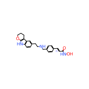 O=C(/C=C/c1ccc(CNCCc2ccc3[nH]c4c(c3c2)CCCO4)cc1)NO